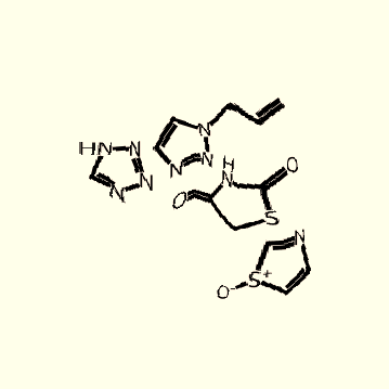 C=CCn1ccnn1.O=C1CSC(=O)N1.[O-][s+]1ccnc1.c1nnn[nH]1